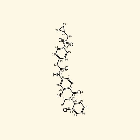 CCN(C(=O)c1ccc(NC(=O)Cc2ccc(S(=O)(=O)CC3CC3)cc2)cc1F)c1ccccc1Cl